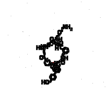 NCCOCCNC(=O)[C@@H]1CCNC(O)/C=C/C(=O)N2CCC[C@](Cc3ccccc3)(C2)C(=O)N[C@@H](Cc2ccc(-c3ccc(CO)cc3)cc2)C(=O)NCc2ccccc2CC(=O)N1